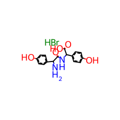 Br.NC(C(=O)NC(C(=O)O)c1ccc(O)cc1)c1ccc(O)cc1